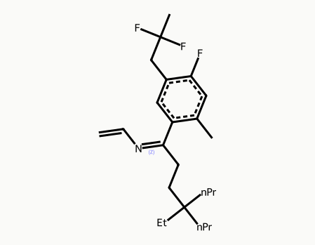 C=C/N=C(/CCC(CC)(CCC)CCC)c1cc(CC(C)(F)F)c(F)cc1C